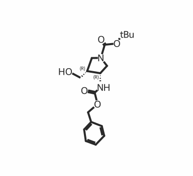 CC(C)(C)OC(=O)N1C[C@@H](CO)[C@@H](NC(=O)OCc2ccccc2)C1